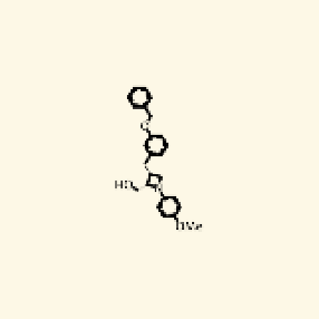 COc1ccc(N2C[C@@H](Cc3cccc(OCc4ccccc4)c3)[C@H]2CO)cc1